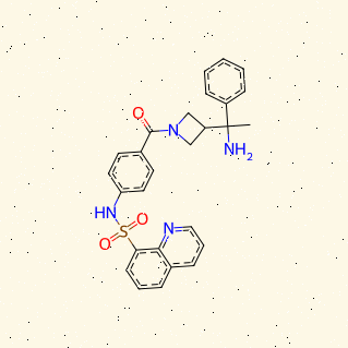 CC(N)(c1ccccc1)C1CN(C(=O)c2ccc(NS(=O)(=O)c3cccc4cccnc34)cc2)C1